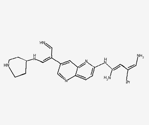 CC(C)C(=C/N)/C=C(\N)Nc1ccc2ncc(/C(C=N)=C/NC3CCNCC3)cc2n1